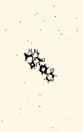 NC[C@@H](C(=O)Nc1ccc(N2CCOCC2=O)cc1)N(CC1CC1)C1CCC1